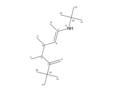 C=C(C(C)C(C)/C=C(\C)NC(C)(C)C)C(C)(C)C